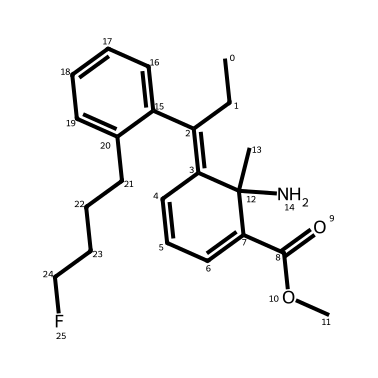 CCC(=C1C=CC=C(C(=O)OC)C1(C)N)c1ccccc1CCCCF